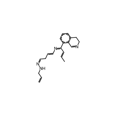 C=CCN/N=C\C/C=C/N=C(\C=C\C)c1cccc2c1C=NCC2